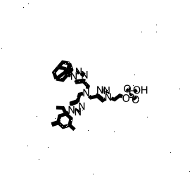 C=C1CC(C)CC(CC)(n2cc(CN(Cc3cn(CCOS(=O)(=O)O)nn3)Cc3cn(C45CC6CC(CC(C6)C4)C5)nn3)nn2)C1